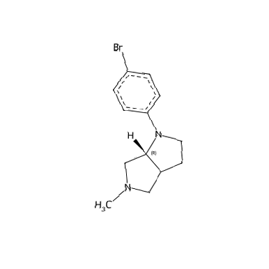 CN1CC2CCN(c3ccc(Br)cc3)[C@H]2C1